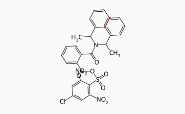 CC(c1ccccc1)N(C(=O)c1ccccc1C(=O)OS(=O)(=O)c1c([N+](=O)[O-])cc(Cl)cc1[N+](=O)[O-])C(C)c1ccccc1